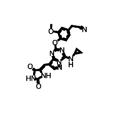 COc1cc(CC#N)ccc1Oc1nc(NC2CC2)n2ncc(/C=C3\NC(=O)NC3=O)c2n1